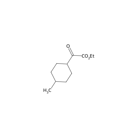 CCOC(=O)C(=O)C1CCC(C)CC1